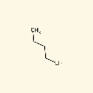 [Li-][CH2]CCC